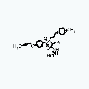 CC#CCOc1ccc(S(=O)(=O)N(CCCN2CCN(C)CC2)C(C(=O)NO)C(C)C)cc1.Cl